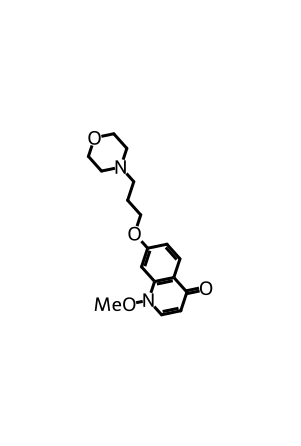 COn1ccc(=O)c2ccc(OCCCN3CCOCC3)cc21